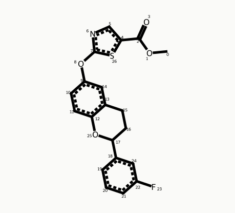 COC(=O)c1cnc(Oc2ccc3c(c2)CCC(c2cccc(F)c2)O3)s1